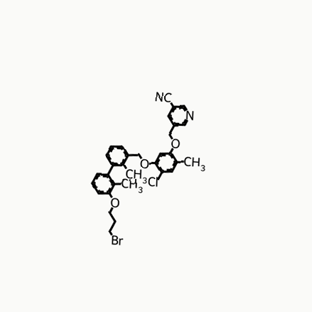 Cc1cc(Cl)c(OCc2cccc(-c3cccc(OCCCBr)c3C)c2C)cc1OCc1cncc(C#N)c1